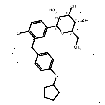 CC[C@H]1O[C@@H](c2ccc(Cl)c(Cc3ccc(SC4CCCC4)cc3)c2)[C@H](O)[C@@H](O)[C@@H]1O